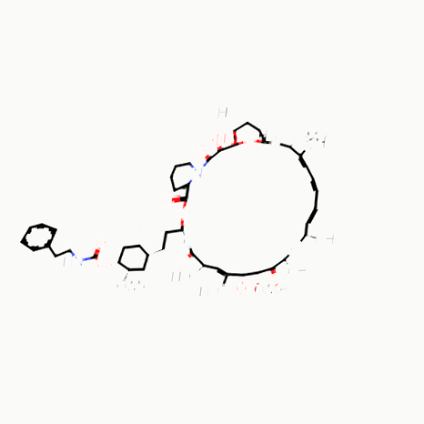 CO[C@H]1C[C@@H]2CC[C@@H](C)[C@@](O)(O2)C(=O)C(=O)N2CCCC[C@H]2C(=O)O[C@H]([C@H](C)C[C@@H]2CC[C@@H](OC(=O)NCCc3ccccc3)[C@H](OC)C2)CC(=O)[C@H](C)/C=C(\C)[C@@H](O)[C@@H](OC)C(=O)[C@H](C)C[C@H](C)/C=C/C=C/C=C/1C